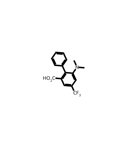 CN(C)c1cc(C(F)(F)F)cc(C(=O)O)c1-c1ccccc1